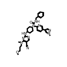 COCCCN(C)c1nc(NC2CCC(N(C(=O)NCc3ccccc3)c3ccc(-c4cnn(C)c4)cn3)CC2)ncc1C#N